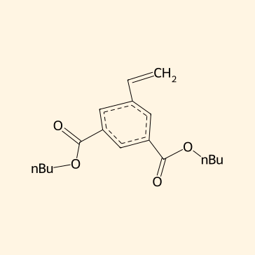 C=Cc1cc(C(=O)OCCCC)cc(C(=O)OCCCC)c1